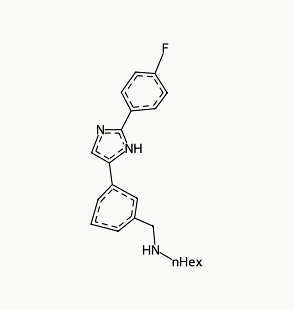 CCCCCCNCc1cccc(-c2cnc(-c3ccc(F)cc3)[nH]2)c1